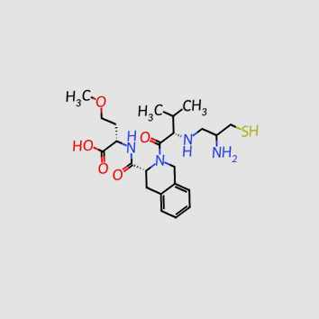 COCC[C@H](NC(=O)[C@H]1Cc2ccccc2CN1C(=O)[C@@H](NCC(N)CS)C(C)C)C(=O)O